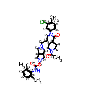 CC(=O)N1CCC(C(=O)N(CCCN2CC3CN(OC(=O)Nc4c(C)cccc4C)CC3C2)c2ccc(C)c(Cl)c2)CC1